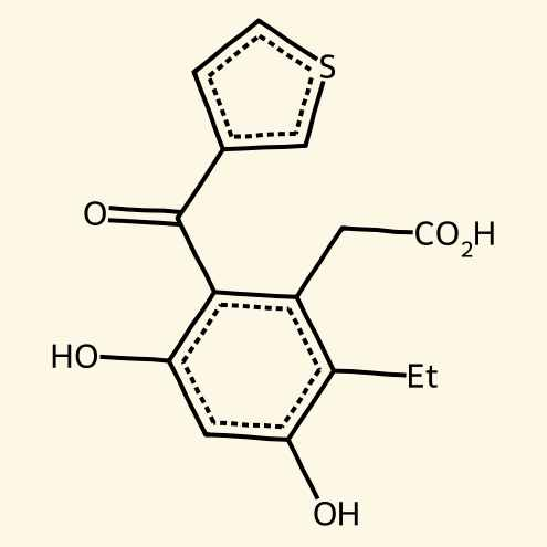 CCc1c(O)cc(O)c(C(=O)c2ccsc2)c1CC(=O)O